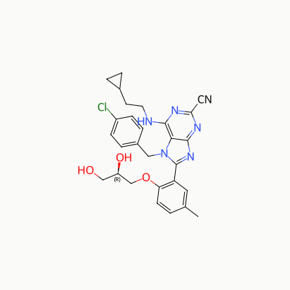 Cc1ccc(OC[C@H](O)CO)c(-c2nc3nc(C#N)nc(NCCC4CC4)c3n2Cc2ccc(Cl)cc2)c1